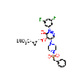 CCOC(=O)[C@@H]1C[C@H]1COc1c(N2CCN(S(=O)(=O)Cc3ccccc3)CC2)cnn(-c2cc(F)cc(F)c2)c1=O